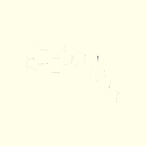 CCNC(=O)CN1CCN(c2ccc3[nH]c(C4=Cn5ncnc5C(C)C4C)c(C(C)C)c3n2)[C@@H](C)C1